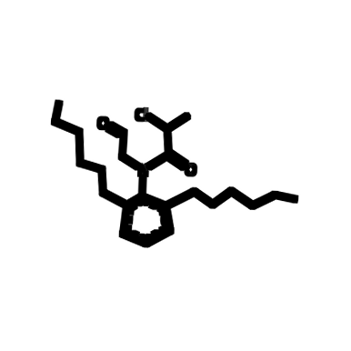 CCCCCCc1cccc(CCCCCC)c1N(CC=O)C(=O)C(C)Cl